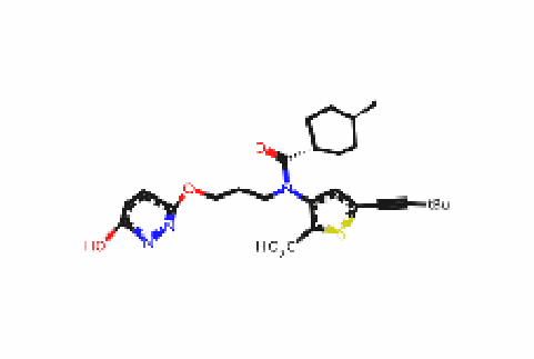 CC(C)(C)C#Cc1cc(N(CCCOc2ccc(O)nn2)C(=O)[C@H]2CC[C@H](C)CC2)c(C(=O)O)s1